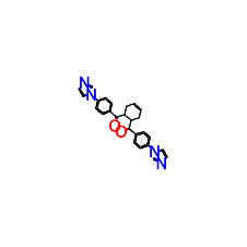 O=C(c1ccc(-n2ccnc2)cc1)C1CC=CCC1C(=O)c1ccc(-n2ccnc2)cc1